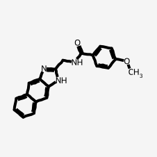 COc1ccc(C(=O)NCc2nc3cc4ccccc4cc3[nH]2)cc1